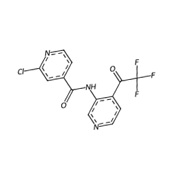 O=C(Nc1cnccc1C(=O)C(F)(F)F)c1ccnc(Cl)c1